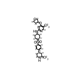 O=S(=O)(c1ccc(N2CCNC(C(F)(F)F)C2)cc1)N1CCC(Nc2ncc(C(F)(F)F)c(O[C@H]3CCOC3)n2)CC1